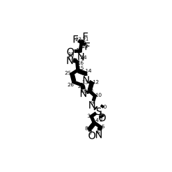 CS(=O)(Cc1cnoc1)=NCc1cn2cc(-c3noc(C(F)(F)F)n3)ccc2n1